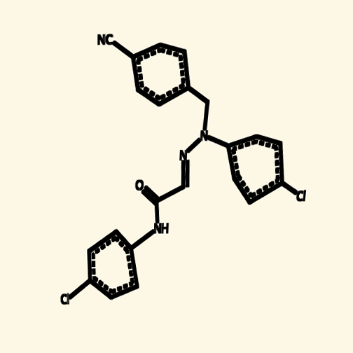 N#Cc1ccc(CN(N=CC(=O)Nc2ccc(Cl)cc2)c2ccc(Cl)cc2)cc1